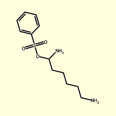 NCCCCCC(N)OS(=O)(=O)c1ccccc1